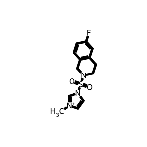 C[n+]1ccn(S(=O)(=O)N2CCc3cc(F)ccc3C2)c1